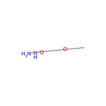 CCCCCCCCCCCCOCCCCCCCCCCCCCCOCCCNCCCN